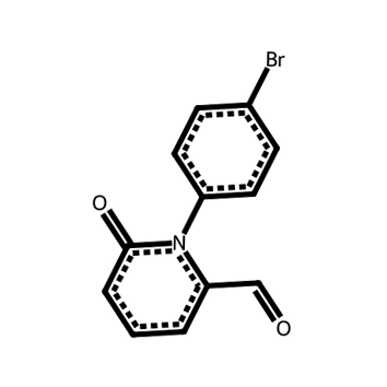 O=Cc1cccc(=O)n1-c1ccc(Br)cc1